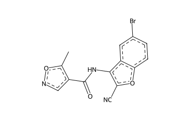 Cc1oncc1C(=O)Nc1c(C#N)oc2ccc(Br)cc12